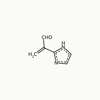 C=C(C=O)c1ncc[nH]1